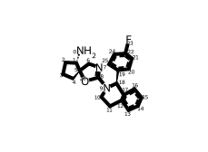 N[C@H]1CCC[C@]12CN=C(N1CCc3ccccc3[C@@H]1c1ccc(F)cc1)O2